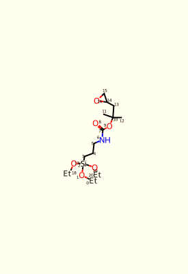 CCO[Si](CCCNC(=O)OC(C)(C)CC1CO1)(OCC)OCC